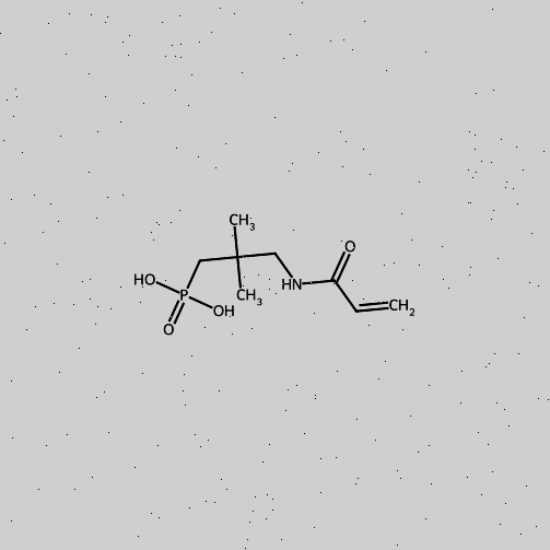 C=CC(=O)NCC(C)(C)CP(=O)(O)O